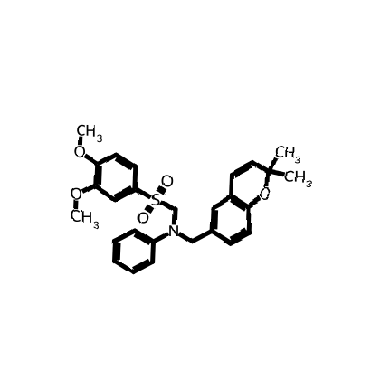 COc1ccc(S(=O)(=O)CN(Cc2ccc3c(c2)C=CC(C)(C)O3)c2ccccc2)cc1OC